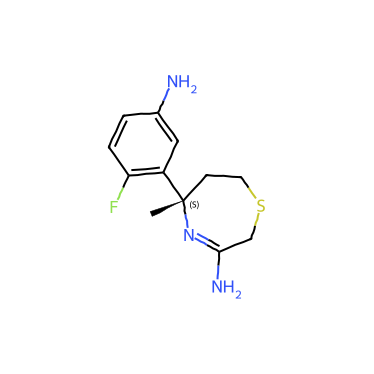 C[C@@]1(c2cc(N)ccc2F)CCSCC(N)=N1